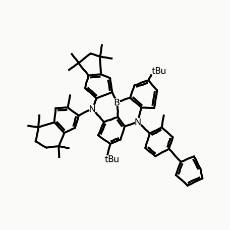 Cc1cc(-c2ccccc2)ccc1N1c2ccc(C(C)(C)C)cc2B2c3cc4c(cc3N(c3cc5c(cc3C)C(C)(C)CCC5(C)C)c3cc(C(C)(C)C)cc1c32)C(C)(C)CC4(C)C